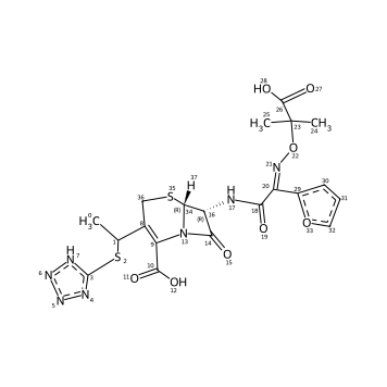 CC(Sc1nnn[nH]1)C1=C(C(=O)O)N2C(=O)[C@@H](NC(=O)C(=NOC(C)(C)C(=O)O)c3ccco3)[C@H]2SC1